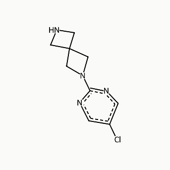 Clc1cnc(N2CC3(CNC3)C2)nc1